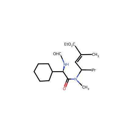 CCOC(=O)/C(C)=C/C(C(C)C)N(C)C(=O)[C@H](NC=O)C1CCCCC1